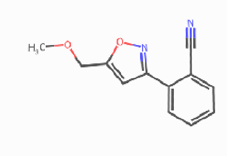 COCc1cc(-c2ccccc2C#N)no1